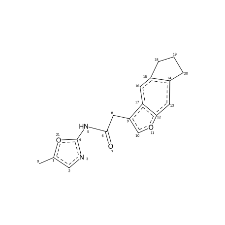 Cc1cnc(NC(=O)Cc2coc3cc4c(cc23)CCC4)o1